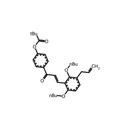 C=CCc1ccc(OCCCC)c(C=CC(=O)c2ccc(OC(=O)C(C)(C)C)cc2)c1OCCCC